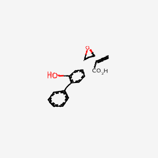 C1CO1.C=CC(=O)O.Oc1ccccc1-c1ccccc1